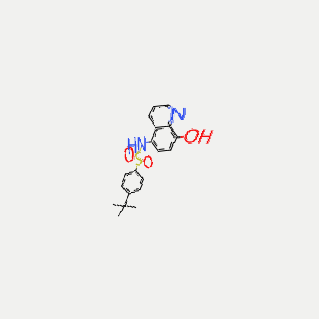 CC(C)(C)c1ccc(S(=O)(=O)Nc2ccc(O)c3ncccc23)cc1